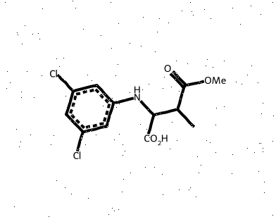 COC(=O)C(C)C(Nc1cc(Cl)cc(Cl)c1)C(=O)O